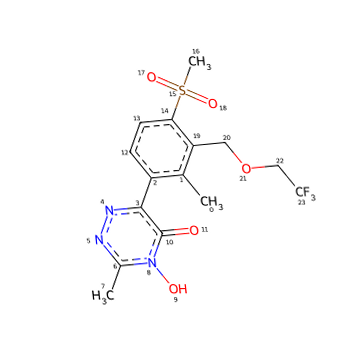 Cc1c(-c2nnc(C)n(O)c2=O)ccc(S(C)(=O)=O)c1COCC(F)(F)F